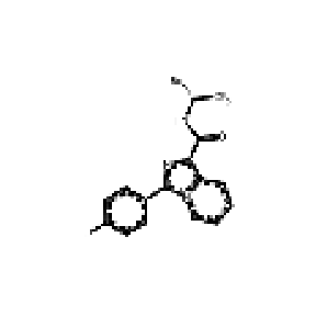 CC(C)(C)[C@@H](NC(=O)c1nc(-c2ccc(F)cc2)n2ccccc12)C(F)(F)F